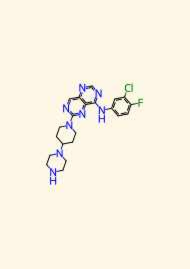 Fc1ccc(Nc2ncnc3cnc(N4CCC(N5CCNCC5)CC4)nc23)cc1Cl